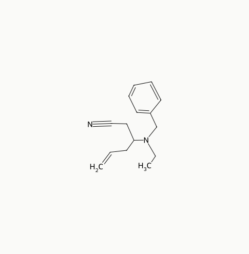 C=CCC(CC#N)N(CC)Cc1ccccc1